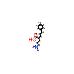 CN(C)CCCC(=CC=Cc1ccccc1)C(=O)O